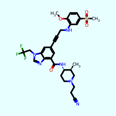 COc1ccc(S(C)(=O)=O)cc1NCC#Cc1cc(C(=O)N[C@H]2CCN(CCC#N)C[C@@H]2C)c2ncn(CC(F)(F)F)c2c1